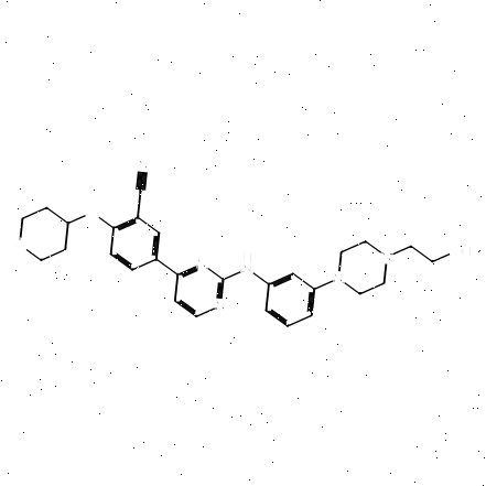 N#Cc1cc(-c2ccnc(Nc3cccc(N4CCN(CCO)CC4)c3)n2)ccc1OC1CCOCC1